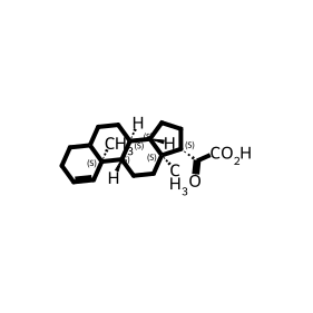 C[C@]12CC[C@H]3[C@@H](CCC4CCC=C[C@@]43C)[C@@H]1CC[C@@H]2C(=O)C(=O)O